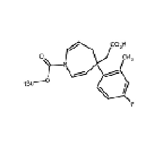 Cc1cc(F)ccc1C1(CC(=O)O)C=CN(C(=O)OC(C)(C)C)C=CC1